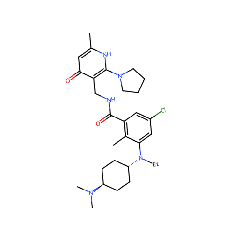 CCN(c1cc(Cl)cc(C(=O)NCc2c(N3CCCC3)[nH]c(C)cc2=O)c1C)[C@H]1CC[C@H](N(C)C)CC1